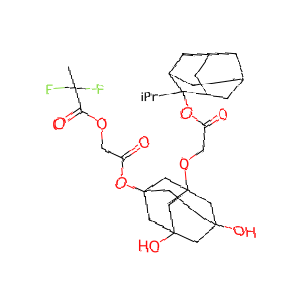 CC(C)C1(OC(=O)COC23CC4(O)CC(O)(C2)CC(OC(=O)COC(=O)C(C)(F)F)(C4)C3)C2CC3CC(C2)CC1C3